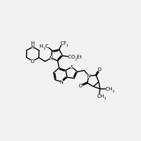 CCOC(=O)c1c(C(F)(F)F)c(C)n(CC2CNCCO2)c1-c1ccnc2cc(CN3C(=O)C4C(C3=O)C4(C)C)sc12